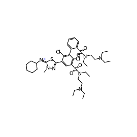 CCN(CC)CCN(CC)S(=O)(=O)c1ccccc1-c1c(Cl)c(-c2nn(C)/c(=N\C3CCCCC3)s2)cc(S(=O)(=O)N(CC)CCN(CC)CC)c1Cl